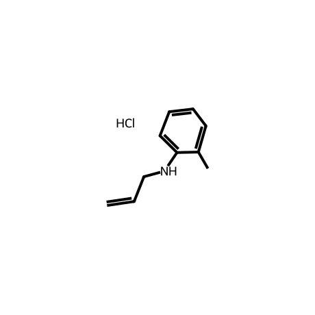 C=CCNc1ccccc1C.Cl